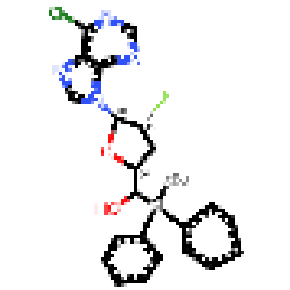 CC(C)(C)[Si](c1ccccc1)(c1ccccc1)C(O)[C@@H]1C[C@@H](F)[C@H](n2cnc3c(Cl)ncnc32)O1